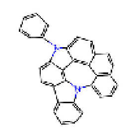 c1ccc(-n2c3ccc4ccc5cccc6c5c4c3c3c2ccc2c4ccccc4n6c23)cc1